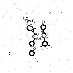 CC1(C)C(/C=C\C(=O)OC(C(F)(F)F)C(F)(F)F)C1C(=O)OC(C#N)c1cccc(Oc2ccccc2)c1.CCc1ccc(C(=O)NN(C(=O)c2cc(C)cc(C)c2)C(C)(C)C)cc1